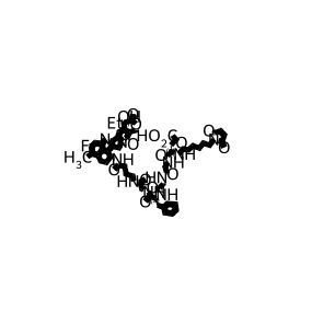 CC[C@@]1(O)C(=O)OCc2c1cc1n(c2=O)Cc2c-1nc1cc(F)c(C)c3c1c2[C@@H](NC(=O)CCCNC(=O)CNC(=O)[C@H](Cc1ccccc1)NC(=O)CNC(=O)CNC(=O)[C@H](CCC(=O)O)NC(=O)CCCCCN1C(=O)C=CC1=O)CC3